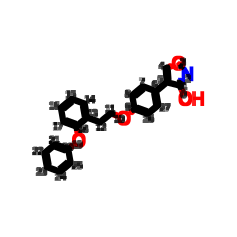 Oc1nocc1-c1ccc(OCCc2ccccc2Oc2ccccc2)cc1